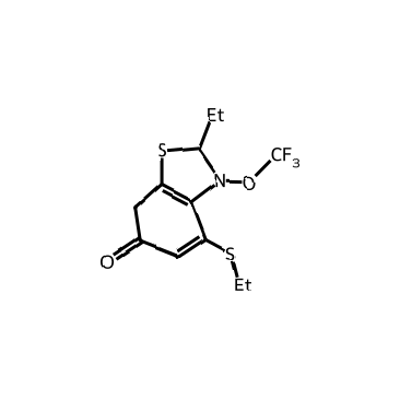 CCSC1=CC(=O)CC2=C1N(OC(F)(F)F)C(CC)S2